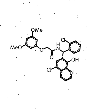 COc1cc(OC)cc(OCC(=O)NC(c2ccccc2Cl)c2cc(Cl)c3cccnc3c2O)c1